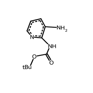 CC(C)(C)OC(=O)Nc1ncccc1N